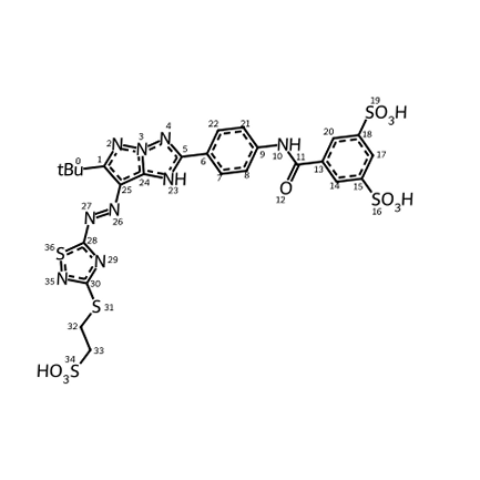 CC(C)(C)c1nn2nc(-c3ccc(NC(=O)c4cc(S(=O)(=O)O)cc(S(=O)(=O)O)c4)cc3)[nH]c2c1/N=N/c1nc(SCCS(=O)(=O)O)ns1